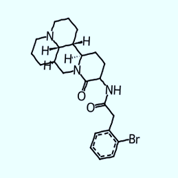 O=C(Cc1ccccc1Br)NC1CC[C@@H]2[C@H]3CCCN4CCC[C@@H](CN2C1=O)[C@@H]34